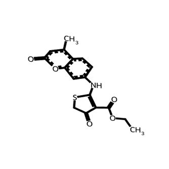 CCOC(=O)C1=C(Nc2ccc3c(C)cc(=O)oc3c2)SCC1=O